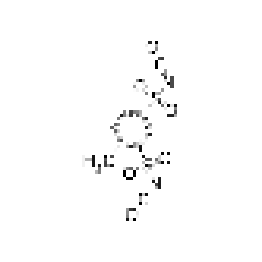 Cc1ccc(S(=O)(=O)N=C=O)cc1S(=O)(=O)N=C=O